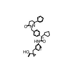 C=C(O)C1(Cc2cccc(NC(=O)[C@H](c3ccc(CN4N=C(c5ccccc5)CCC4=O)cc3)C3CCCC3)c2)CC1